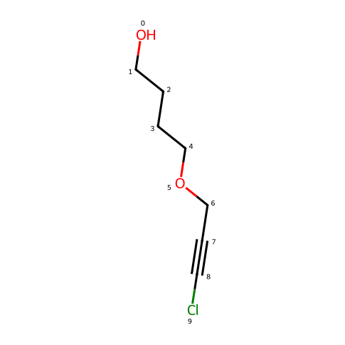 OCCCCOCC#CCl